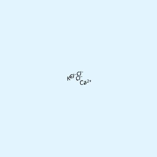 [Ca+2].[Cl-].[Cl-].[Cl-].[K+]